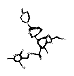 CCCc1cc(C)[nH]c(=O)c1CNC(=O)c1cc(-c2ccc(N3CCN(C)CC3)nc2)c2sc(CC(C)(C)C)nc2c1C